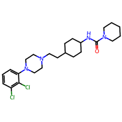 O=C(NC1CCC(CCN2CCN(c3cccc(Cl)c3Cl)CC2)CC1)N1CCCCC1